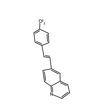 FC(F)(F)c1ccc(/C=C/c2ccc3ncccc3c2)cc1